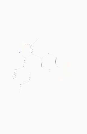 Cc1onc(-c2ccc(F)cc2)c1-c1ccc(S(C)(=O)=O)cc1